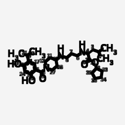 CC(C)C[C@H](NCCCNC1CCN(C(=O)c2cc(C(C)C)c(O)cc2O)CC1)C(=O)OC1CCCC1